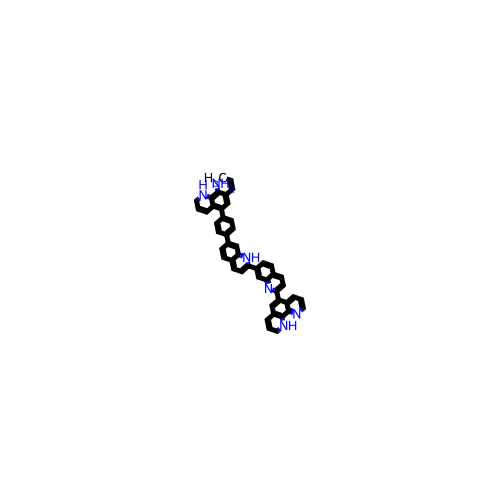 C/C=C\c1cc(-c2ccc(C3=CC4NC(c5ccc6ccc(-c7cc8c(c9ncccc79)NCC=C8)nc6c5)=CC=C4C=C3)cc2)c2c(c1N)NCC=C2